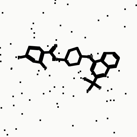 O=C(NC1CCC(Nc2cc(C(F)(F)F)nc3ccccc23)CC1)c1ccc(F)cc1F